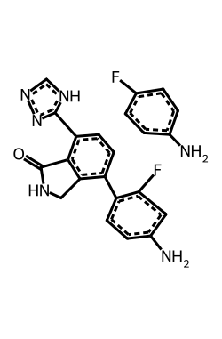 Nc1ccc(-c2ccc(-c3nnc[nH]3)c3c2CNC3=O)c(F)c1.Nc1ccc(F)cc1